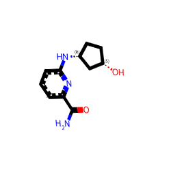 NC(=O)c1[c]ccc(N[C@@H]2CC[C@H](O)C2)n1